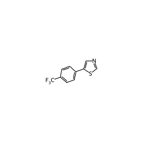 FC(F)(F)c1ccc(-c2cncs2)cc1